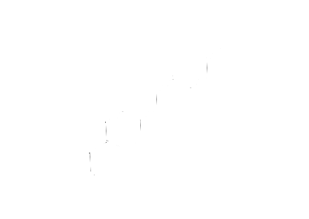 C=C\C=C/C=C\C=C(F)/C=C\C(=C)CC